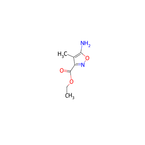 CCOC(=O)c1noc(N)c1C